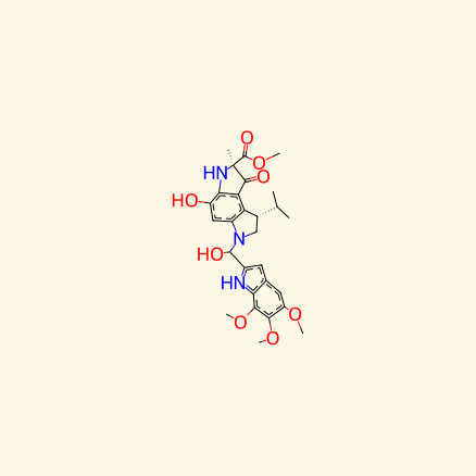 COC(=O)[C@]1(C)Nc2c(O)cc3c(c2C1=O)[C@H](C(C)C)CN3C(O)c1cc2cc(OC)c(OC)c(OC)c2[nH]1